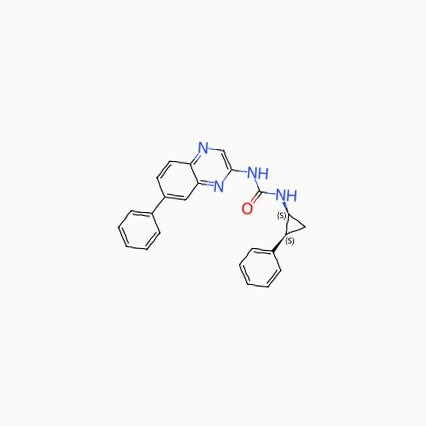 O=C(Nc1cnc2ccc(-c3ccccc3)cc2n1)N[C@H]1C[C@H]1c1ccccc1